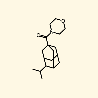 CC(C)C1C2CC3CC1CC(C(=O)N1CCOCC1)(C3)C2